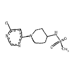 CS(=O)(=O)NC1CCN(c2cc(Cl)ncn2)CC1